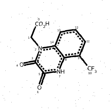 O=C(O)Cn1c(=O)c(=O)[nH]c2c(C(F)(F)F)cccc21